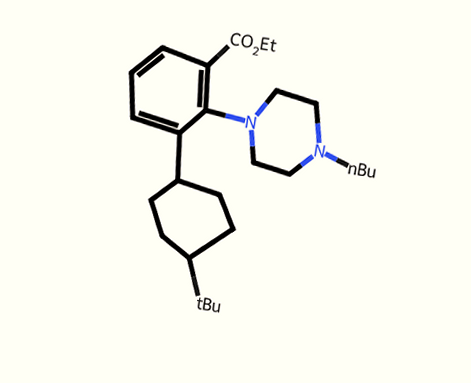 CCCCN1CCN(c2c(C(=O)OCC)cccc2C2CCC(C(C)(C)C)CC2)CC1